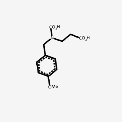 COc1ccc(CN(CCC(=O)O)C(=O)O)cc1